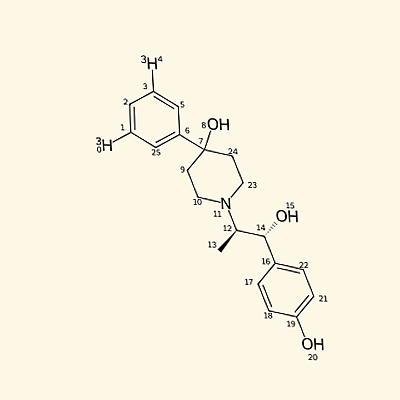 [3H]c1cc([3H])cc(C2(O)CCN([C@H](C)[C@H](O)c3ccc(O)cc3)CC2)c1